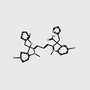 CN1/C(=C\C=C\C2=[N+](C)c3ccc(Cl)cc3C2(Cc2ccco2)C(=O)O)C(Cc2ccco2)(OC=O)c2cc(Cl)ccc21